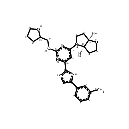 Cc1cccc(-c2csc(-c3cc(N4CC[C@H]5OCC[C@H]54)nc(OCC4CCCO4)n3)n2)c1